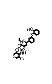 CCn1nc(-c2cccc(Sc3ccccc3O)c2)cc(NC(=O)Nc2c(Cl)cncc2Cl)c1=O